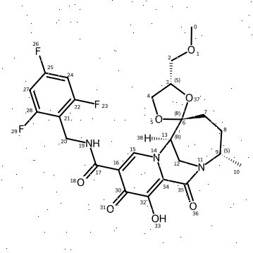 COC[C@H]1CO[C@]2(CC[C@H](C)N3C[C@H]2n2cc(C(=O)NCc4c(F)cc(F)cc4F)c(=O)c(O)c2C3=O)O1